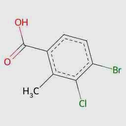 Cc1c(C(=O)O)ccc(Br)c1Cl